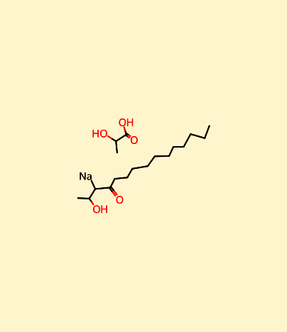 CC(O)C(=O)O.CCCCCCCCCCCC(=O)[CH]([Na])C(C)O